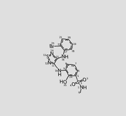 CNS(=O)(=O)c1cccc(Nc2nsnc2Nc2ccccc2Br)c1O